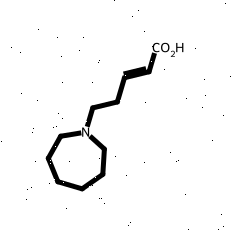 O=C(O)C=CCCN1CCCCCC1